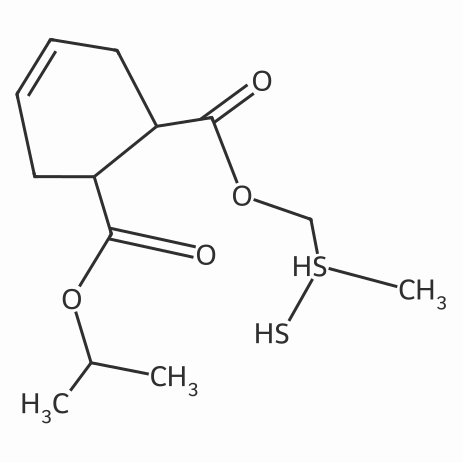 CC(C)OC(=O)C1CC=CCC1C(=O)OC[SH](C)S